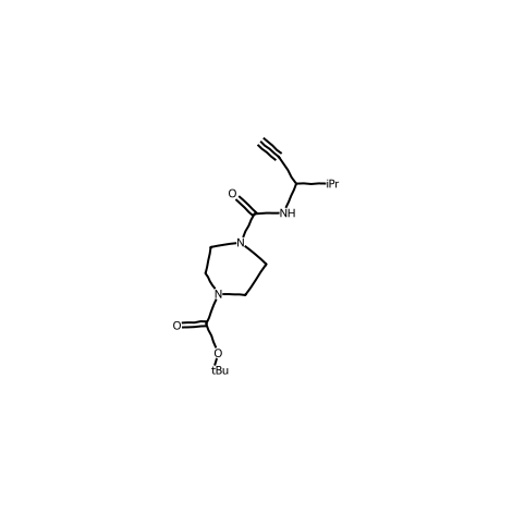 C#CC(NC(=O)N1CCN(C(=O)OC(C)(C)C)CC1)C(C)C